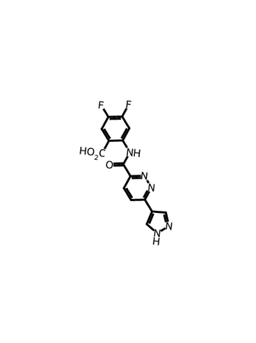 O=C(Nc1cc(F)c(F)cc1C(=O)O)c1ccc(-c2cn[nH]c2)nn1